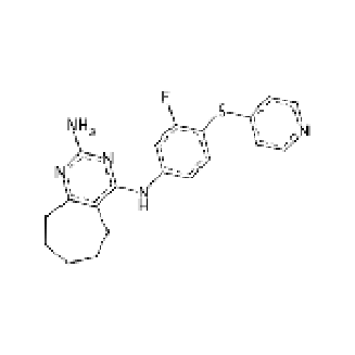 Nc1nc2c(c(Nc3ccc(Sc4ccncc4)c(F)c3)n1)CCCCC2